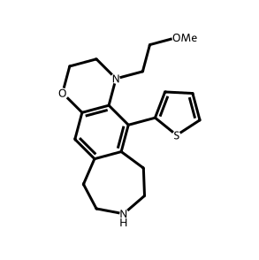 COCCN1CCOc2cc3c(c(-c4cccs4)c21)CCNCC3